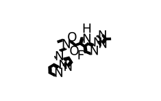 CCN(CCN(C)c1ccnn1-c1ccccn1)C(=O)C(=O)c1c[nH]c2c(-n3cnc(C)n3)ncc(F)c12